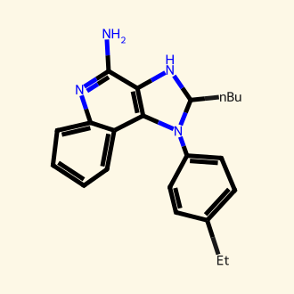 CCCCC1Nc2c(N)nc3ccccc3c2N1c1ccc(CC)cc1